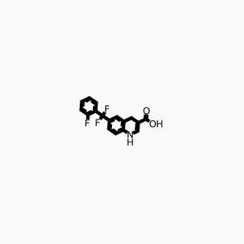 O=C(O)C1=CNc2ccc(C(F)(F)c3ccccc3F)cc2C1